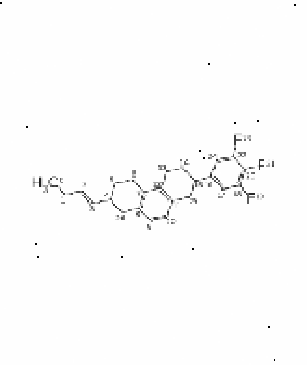 CCC=CC1CCc2c(ccc3c2CCC(c2cc(F)c(F)c(F)c2)C3)C1